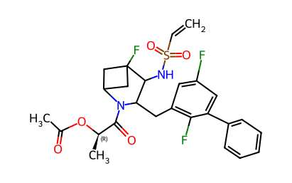 C=CS(=O)(=O)NC1C(Cc2cc(F)cc(-c3ccccc3)c2F)N(C(=O)[C@@H](C)OC(C)=O)C2CC1(F)C2